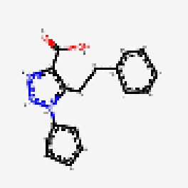 O=C(O)c1nnn(-c2ccccc2)c1CCc1ccccc1